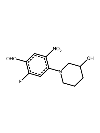 O=Cc1cc([N+](=O)[O-])c(N2CCCC(O)C2)cc1F